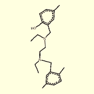 CCN(CCN(CC)Cc1cc(C)ccc1O)Cc1cc(C)ccc1C